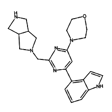 c1cc(-c2cc(N3CCOCC3)nc(CN3CC4CNCC4C3)n2)c2cc[nH]c2c1